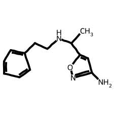 CC(NCCc1ccccc1)c1cc(N)no1